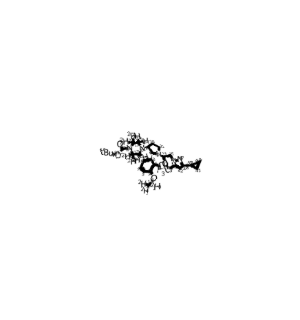 [2H]C([2H])([2H])Oc1cccc([C@@H]2[C@H](N3C([2H])([2H])C([2H])([2H])N(C(=O)OC(C)(C)C)C([2H])([2H])C3([2H])[2H])CCN2C(=O)Cn2nc(C3CC3)cc2C(F)(F)F)c1C